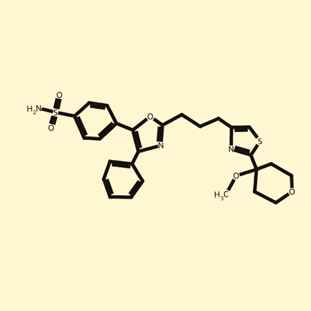 COC1(c2nc(CCCc3nc(-c4ccccc4)c(-c4ccc(S(N)(=O)=O)cc4)o3)cs2)CCOCC1